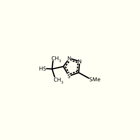 CSc1nnc(C(C)(C)S)s1